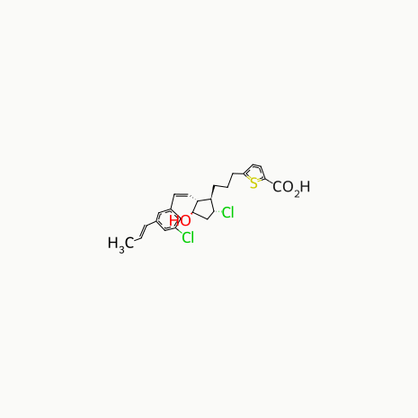 C/C=C/c1cc(Cl)cc(/C=C\[C@@H]2[C@@H](CCCc3ccc(C(=O)O)s3)[C@H](Cl)C[C@H]2O)c1